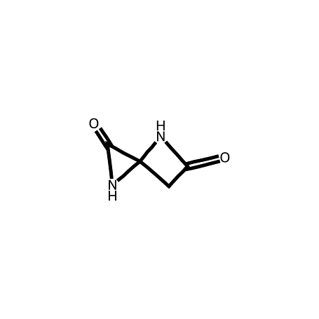 O=C1CC2(N1)NC2=O